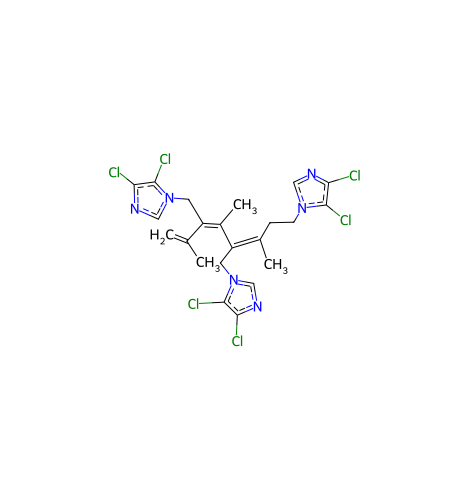 C=C(C)/C(Cn1cnc(Cl)c1Cl)=C(C)\C(Cn1cnc(Cl)c1Cl)=C(\C)CCn1cnc(Cl)c1Cl